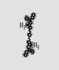 CC1(C)c2cc(/C=C/c3ccc(/C=C/c4ccc5c(c4)C(C)(C)c4cc(N(c6ccc7ccccc7c6)c6cnccn6)ccc4-5)cc3)ccc2-c2ccc(N(c3ccc4ccccc4c3)c3cnccn3)cc21